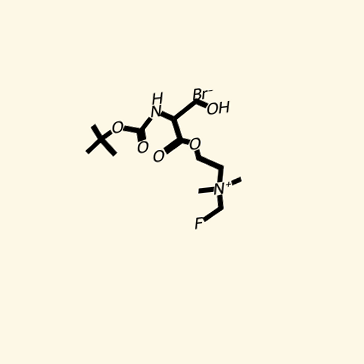 CC(C)(C)OC(=O)NC(CO)C(=O)OCC[N+](C)(C)CF.[Br-]